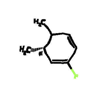 CC1C=CC(F)=C[C@@H]1C